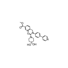 COC(=O)c1ccc(CN(C(=O)N2CCS(O)(O)CC2)c2ccc(-c3ccncc3)cc2)nc1